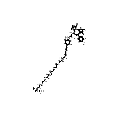 Cc1sc2c(c1C)C(c1ccc(Cl)cc1)=N[C@@H](CC(=O)Nc1ccc(C#CC#CCNCCOCCOCCOCCOCCOCCNC(=O)O)cc1)c1nnc(C)n1-2